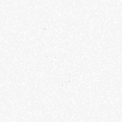 CC[Si](CC)(CC)O[C@H](C)[C@H]1C(=O)N2C(C=O)=C(COc3cccc4c(C[N+]5(C)CCN(C=N)CC5)cccc34)[C@H](C)[C@H]12